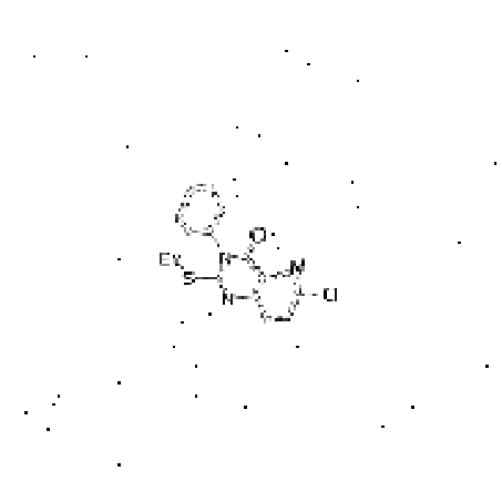 CCSc1nc2ccc(Cl)nc2c(=O)n1-c1ccccc1